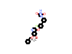 COc1cc2c(Oc3ccc(-c4cccc(N5CC(=O)NC5=O)c4)cc3F)ccnc2cc1OCc1ccccc1